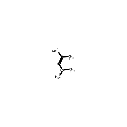 CS/C(C)=C/N(C)C